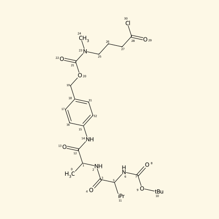 CC(NC(=O)C(NC(=O)OC(C)(C)C)C(C)C)C(=O)Nc1ccc(COC(=O)N(C)CCCC(=O)Cl)cc1